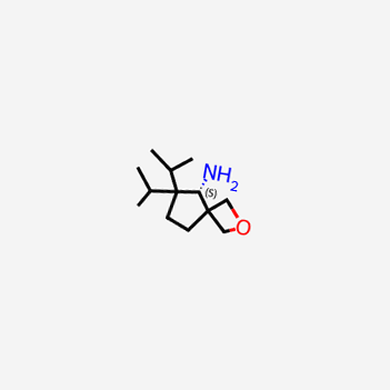 CC(C)C1(C(C)C)CCC2(COC2)[C@H]1N